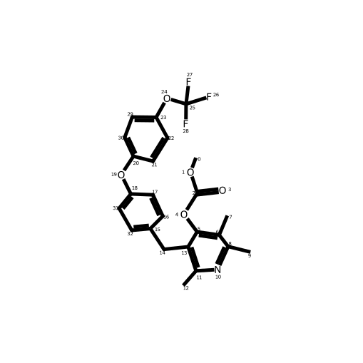 COC(=O)Oc1c(C)c(C)nc(C)c1Cc1ccc(Oc2ccc(OC(F)(F)F)cc2)cc1